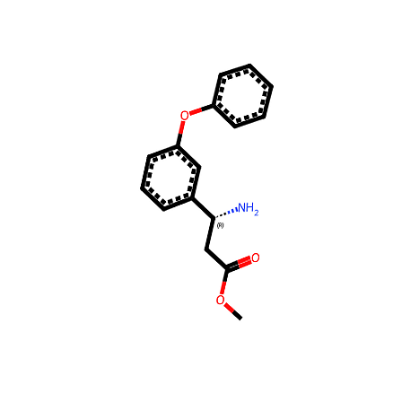 COC(=O)C[C@@H](N)c1cccc(Oc2ccccc2)c1